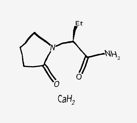 CC[C@@H](C(N)=O)N1CCCC1=O.[CaH2]